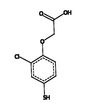 O=C(O)COc1ccc(S)cc1Cl